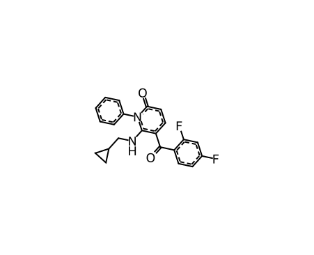 O=C(c1ccc(F)cc1F)c1ccc(=O)n(-c2ccccc2)c1NCC1CC1